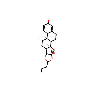 CCCC1O[C@@H]2C[C@H]3[C@@H]4CCC5=CC(=O)C=C[C@]5(C)[C@H]4[C@@H](O)C[C@]3(C)[C@]2(C(=O)O)O1